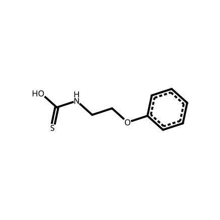 OC(=S)NCCOc1ccccc1